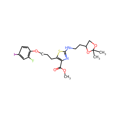 COC(=O)c1nc(NCCC2COC(C)(C)O2)sc1CCCOc1ccc(I)cc1F